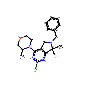 CC1COCCN1c1nc(Cl)nc2c1CN(Cc1ccccc1)C2(C)C